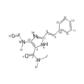 CN(C)C(=O)c1[nH]c(/C=C/c2ccccc2)nc1N(C)C=O